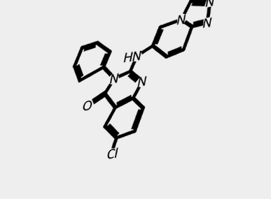 O=c1c2cc(Cl)ccc2nc(Nc2ccc3nncn3c2)n1-c1ccccc1